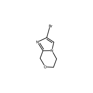 Brc1cn2c(n1)COCC2